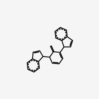 C=C1C(C2C=Cc3ccccc32)=CC=CC1C1C=Cc2ccccc21